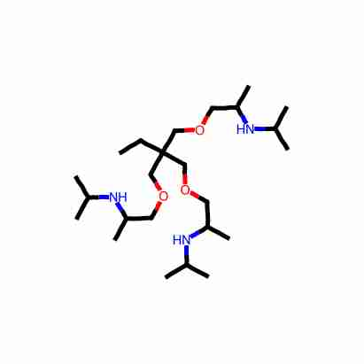 CCC(COCC(C)NC(C)C)(COCC(C)NC(C)C)COCC(C)NC(C)C